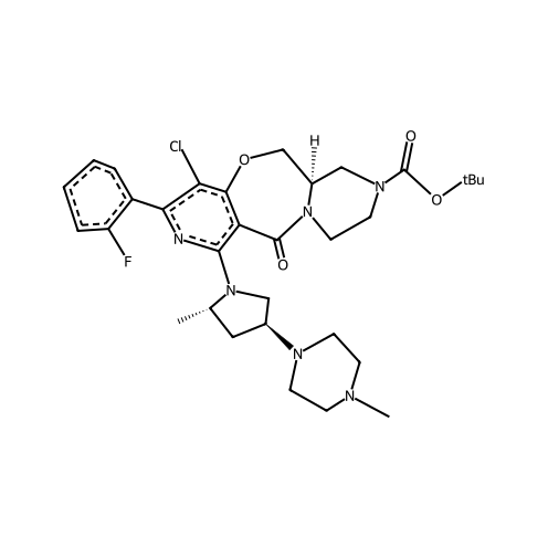 C[C@H]1C[C@H](N2CCN(C)CC2)CN1c1nc(-c2ccccc2F)c(Cl)c2c1C(=O)N1CCN(C(=O)OC(C)(C)C)C[C@@H]1CO2